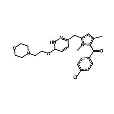 Cc1cc(CC2=NNC(OCCN3CCOCC3)C=C2)n(C)c1C(=O)c1ccc(Cl)cc1